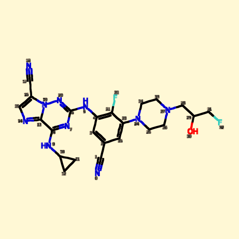 N#Cc1cc(Nc2nc(NC3CC3)c3ncc(C#N)n3n2)c(F)c(N2CCN(CC(O)CF)CC2)c1